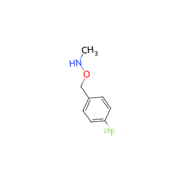 CNOCc1ccc([18F])cc1